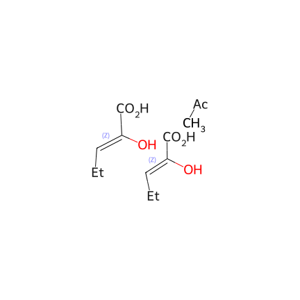 CC(C)=O.CC/C=C(\O)C(=O)O.CC/C=C(\O)C(=O)O